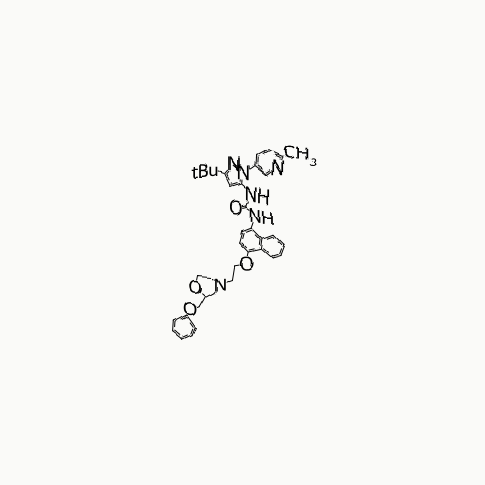 Cc1ccc(-n2nc(C(C)(C)C)cc2NC(=O)Nc2ccc(OCCN3CCOC(COc4ccccc4)C3)c3ccccc23)cn1